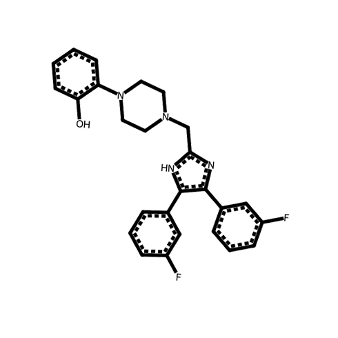 Oc1ccccc1N1CCN(Cc2nc(-c3cccc(F)c3)c(-c3cccc(F)c3)[nH]2)CC1